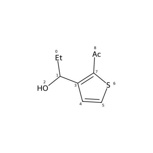 CCC(O)c1ccsc1C(C)=O